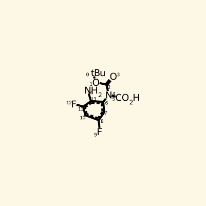 CC(C)(C)OC(=O)N(C(=O)O)c1cc(F)cc(F)c1N